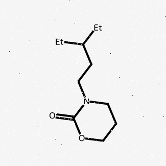 CCC(CC)CCN1CCCOC1=O